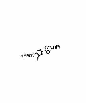 CCCCCc1ccc(C2OCC(CCC)CO2)cc1F